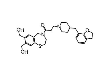 O=C(CCN1CCC(Cc2cccc3c2OCC3)CC1)N1CCSc2cc(CO)c(CO)cc2C1